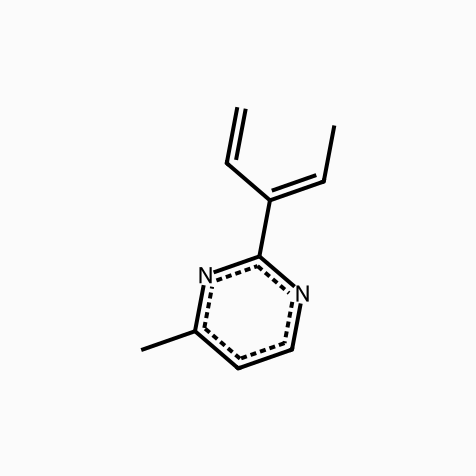 C=C/C(=C\C)c1nccc(C)n1